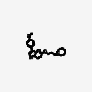 COc1ccc(-c2cnc3ccc(OCCCN4CCCCC4)nn23)cc1